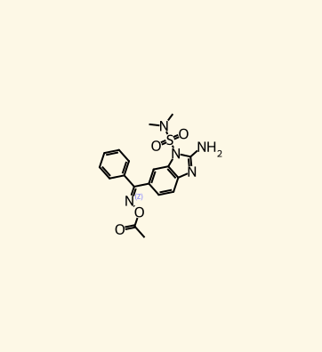 CC(=O)O/N=C(/c1ccccc1)c1ccc2nc(N)n(S(=O)(=O)N(C)C)c2c1